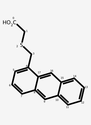 O=C(O)CSCc1cccc2cc3ccccc3cc12